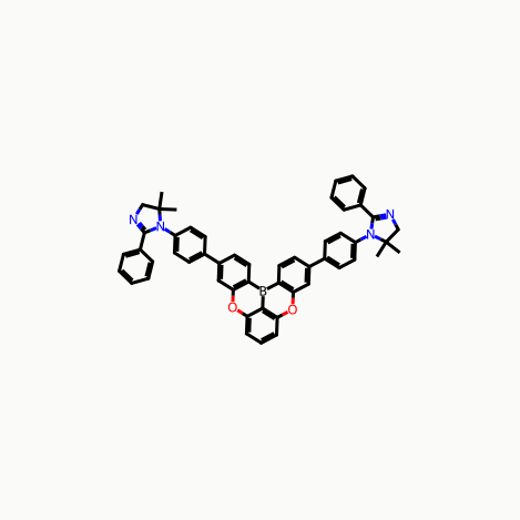 CC1(C)CN=C(c2ccccc2)N1c1ccc(-c2ccc3c(c2)Oc2cccc4c2B3c2ccc(-c3ccc(N5C(c6ccccc6)=NCC5(C)C)cc3)cc2O4)cc1